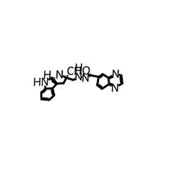 N[C@](C=O)(CN/N=C/c1ccc2nccnc2c1)Cc1c[nH]c2ccccc12